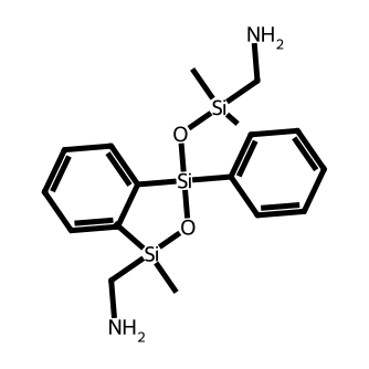 C[Si](C)(CN)O[Si](O[Si](C)(C)CN)(c1ccccc1)c1ccccc1